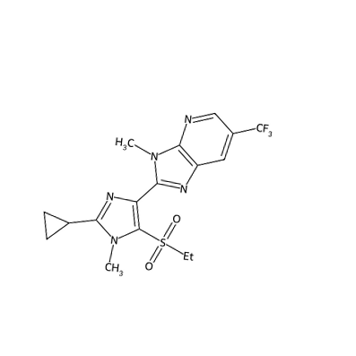 CCS(=O)(=O)c1c(-c2nc3cc(C(F)(F)F)cnc3n2C)nc(C2CC2)n1C